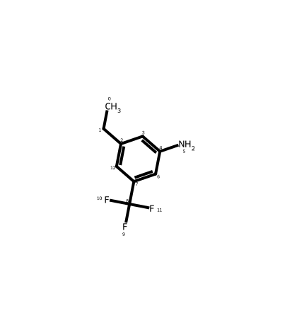 CCc1cc(N)cc(C(F)(F)F)c1